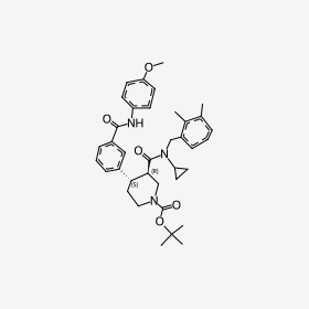 COc1ccc(NC(=O)c2cccc([C@H]3CCN(C(=O)OC(C)(C)C)C[C@@H]3C(=O)N(Cc3cccc(C)c3C)C3CC3)c2)cc1